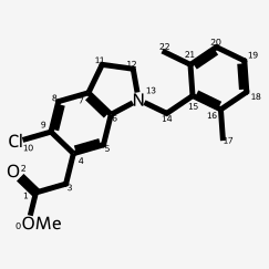 COC(=O)Cc1cc2c(cc1Cl)CCN2Cc1c(C)cccc1C